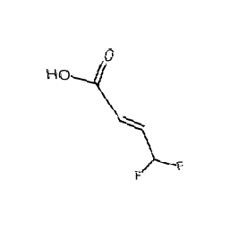 O=C(O)C=CC(F)F